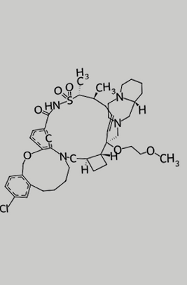 COCCO[C@]1(CN2CCN3CCCC[C@@H]3C2)/C=C/C[C@H](C)[C@@H](C)S(=O)(=O)NC(=O)c2ccc3c(c2)N(CCCCc2cc(Cl)ccc2CO3)C[C@@H]2CC[C@H]21